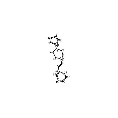 C(=CN1CCC(n2cccc2)CC1)c1ccccc1